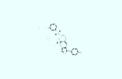 COC(=O)[C@]12Cc3cnn(-c4ccc(F)cc4)c3C=C1CCN(S(=O)(=O)c1cccc(C)c1)C2